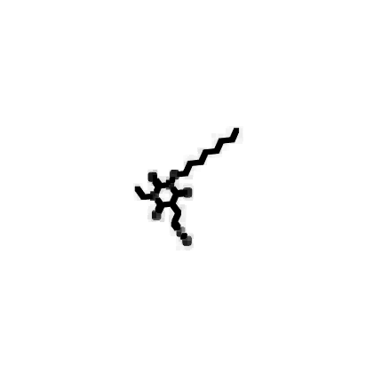 CCCCCCCCON1C(=O)C(CC=C=O)C(=O)N(CC)C1=O